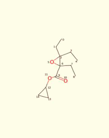 CCC1(CC)OC1(CC)C(=O)OC1CC1